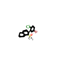 C[S+]([O-])c1c(-c2cc(Br)ccc2Cl)ccc2ccccc12